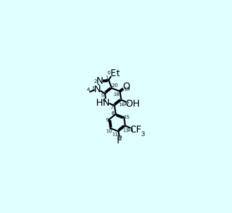 CCc1nn(C)c2[nH]c(-c3ccc(F)c(C(F)(F)F)c3)c(O)c(=O)c12